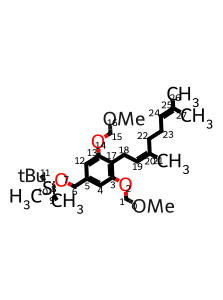 COCOc1cc(CO[Si](C)(C)C(C)(C)C)cc(OCOC)c1CC=C(C)CCC=C(C)C